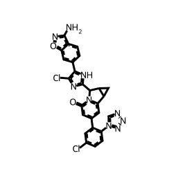 Nc1noc2cc(-c3[nH]c(C4C5CC5c5cc(-c6cc(Cl)ccc6-n6cnnn6)cc(=O)n54)nc3Cl)ccc12